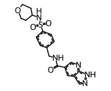 O=C(NCc1ccc(S(=O)(=O)NC2CCOCC2)cc1)c1cnc2[nH]ncc2c1